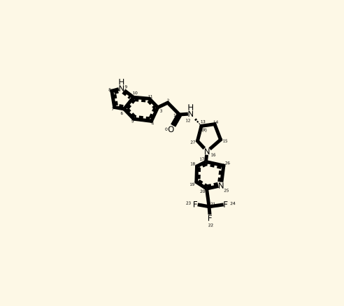 O=C(Cc1ccc2cc[nH]c2c1)N[C@@H]1CCN(c2ccc(C(F)(F)F)nc2)C1